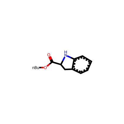 CCCCOC(=O)C1Cc2ccccc2N1